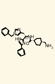 NC[C@H]1CC[C@H](C(=O)N[C@@H](Cc2cn(Cc3ccccc3)cn2)c2nc(-c3ccccc3)c[nH]2)CC1